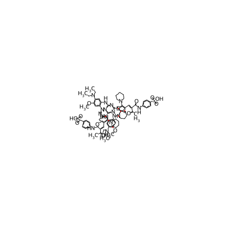 CCN(CC)c1cc(Nc2nc(Nc3cc(N(CC)CC)c(OC)cc3/N=N/c3nc(N4CCCCC4)c(/C=C(\C(C)=O)C(=O)Nc4ccc(S(=O)(=O)O)cc4)s3)nc(SC3CCCCC3)n2)c(/N=N/c2nc(N3CCCCC3)c(/C=C(/C(C)=O)C(=O)Nc3ccc(S(=O)(=O)O)cc3)s2)cc1OC